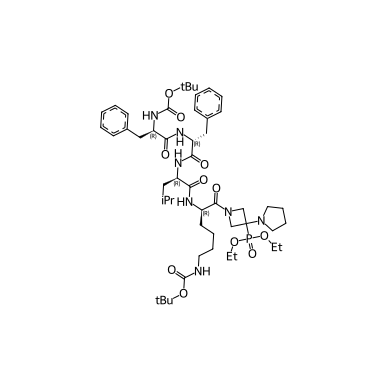 CCOP(=O)(OCC)C1(N2CCCC2)CN(C(=O)[C@@H](CCCCNC(=O)OC(C)(C)C)NC(=O)[C@@H](CC(C)C)NC(=O)[C@@H](Cc2ccccc2)NC(=O)[C@@H](Cc2ccccc2)NC(=O)OC(C)(C)C)C1